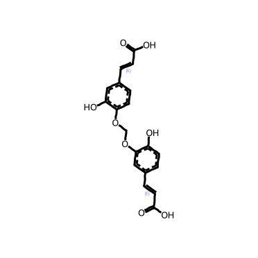 O=C(O)/C=C/c1ccc(OCOc2cc(/C=C/C(=O)O)ccc2O)c(O)c1